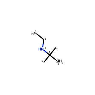 CCCCNC(C)(C)[SiH3]